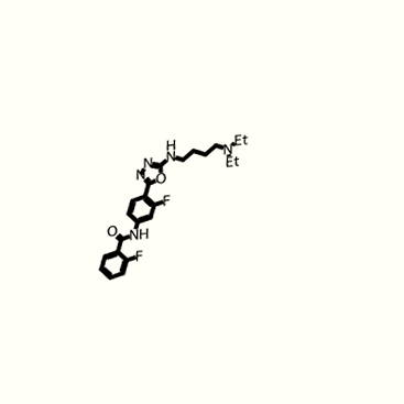 CCN(CC)CCCCNc1nnc(-c2ccc(NC(=O)c3ccccc3F)cc2F)o1